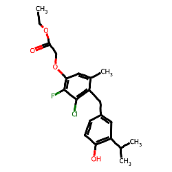 CCOC(=O)COc1cc(C)c(Cc2ccc(O)c(C(C)C)c2)c(Cl)c1F